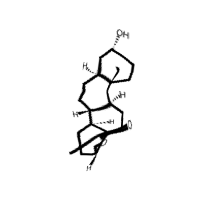 C[C@]12CC[C@@H](O)C[C@@H]1CC[C@@H]1[C@@H]2CC[C@]23C(=O)OC[C@H]2CC[C@@H]13